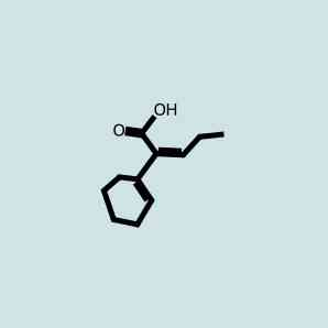 CCC=C(C(=O)O)C1=CCCCC1